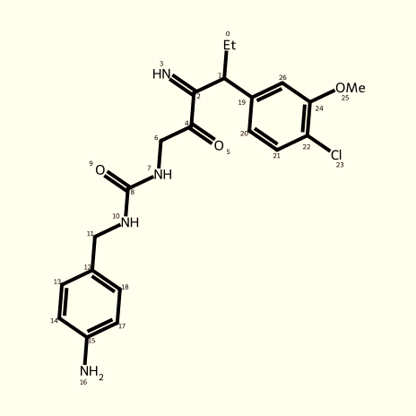 CCC(C(=N)C(=O)CNC(=O)NCc1ccc(N)cc1)c1ccc(Cl)c(OC)c1